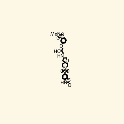 CNS(=O)(=O)c1cccc(OC[C@@H](O)CNC2COC3(CCN(S(=O)(=O)c4ccc5[nH]c(=O)sc5c4)CC3)C2)c1